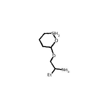 CCC(N)COC1CCC[SiH2]O1